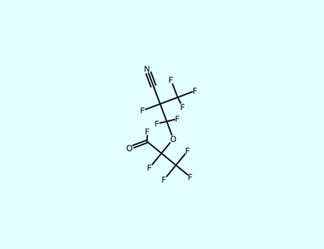 N#CC(F)(C(F)(F)F)C(F)(F)OC(F)(C(=O)F)C(F)(F)F